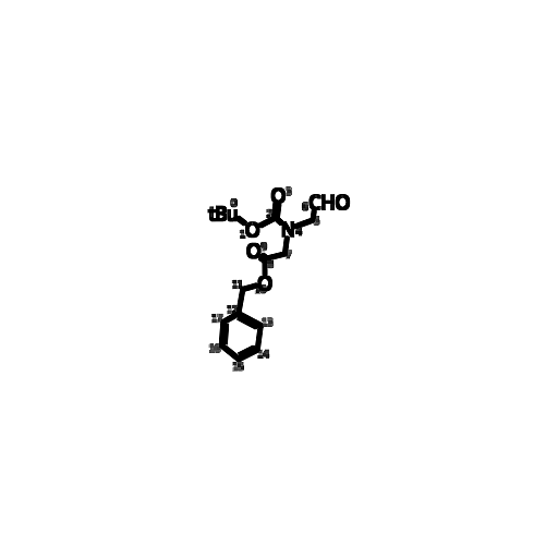 CC(C)(C)OC(=O)N(CC=O)CC(=O)OCc1ccccc1